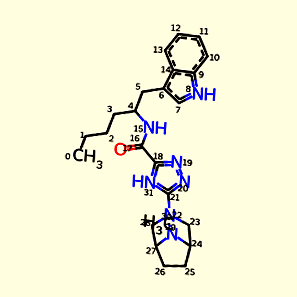 CCCCC(Cc1c[nH]c2ccccc12)NC(=O)c1nnc(N2CC3CCC(C2)N3C)[nH]1